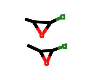 CC1OC1Cl.CC1OC1Cl